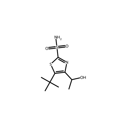 CC(O)c1nc(S(N)(=O)=O)sc1C(C)(C)C